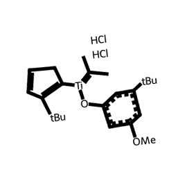 COc1cc([O][Ti]([C]2=C(C(C)(C)C)C=CC2)=[C](C)C)cc(C(C)(C)C)c1.Cl.Cl